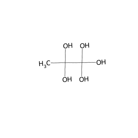 CC(O)(O)C(O)(O)O